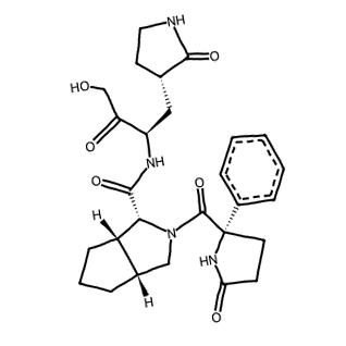 O=C1CC[C@@](C(=O)N2C[C@@H]3CCC[C@@H]3[C@@H]2C(=O)N[C@H](C[C@@H]2CCNC2=O)C(=O)CO)(c2ccccc2)N1